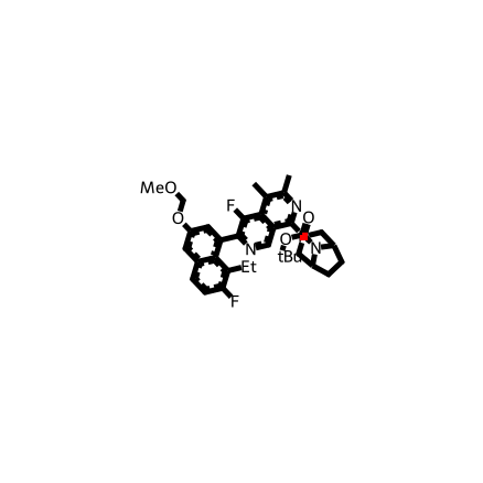 CCc1c(F)ccc2cc(OCOC)cc(-c3ncc4c(N5CC6CCC(C5)N6C(=O)OC(C)(C)C)nc(C)c(C)c4c3F)c12